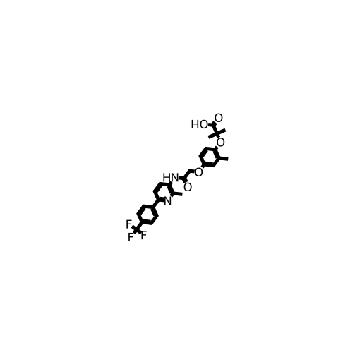 Cc1cc(OCC(=O)Nc2ccc(-c3ccc(C(F)(F)F)cc3)nc2C)ccc1OC(C)(C)C(=O)O